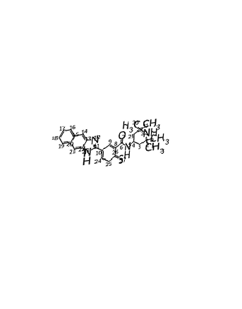 CC1(C)CC(NC(=O)C2=CC(c3nc4cc5ccccc5cc4[nH]3)=CCC2=S)CC(C)(C)N1